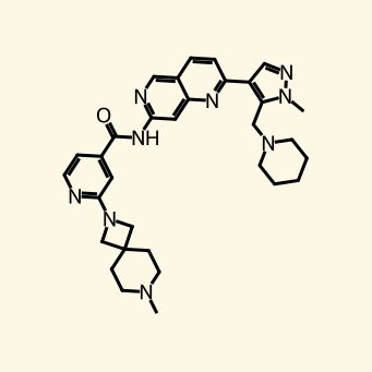 CN1CCC2(CC1)CN(c1cc(C(=O)Nc3cc4nc(-c5cnn(C)c5CN5CCCCC5)ccc4cn3)ccn1)C2